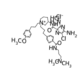 COc1ccc(CCC[N+]2(CCCc3ccc(C(=O)NCCCN(C)C)cc3)CCCC(NC(=O)c3nc(Cl)c(N)nc3N)C2)cc1.Cl.[Cl-]